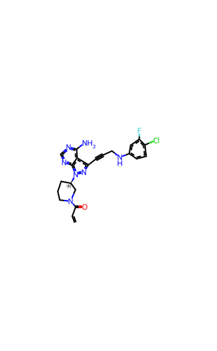 C=CC(=O)N1CCC[C@@H](n2nc(C#CCNc3ccc(Cl)c(F)c3)c3c(N)ncnc32)C1